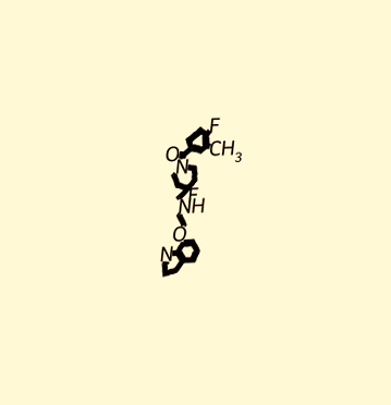 Cc1cc(C(=O)N2CCC(F)(CNCCOc3cccc4c3N=CCC4)CC2)ccc1F